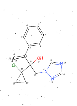 C=C(c1ccccc1)C(O)(Cn1cncn1)C1(Cl)CC1